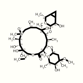 CC[C@H]1OC(=O)[C@H](C)[C@@H](O[C@H]2C[C@@](C)(OC)[C@@H](O)[C@H](C)O2)[C@H](C)[C@@H](O[C@@H]2O[C@H](C)C3CC3[C@H]2O)[C@](C)(O)C[C@@H](C)C[N+](C)([O-])[C@H](C)[C@@H](O)[C@]1(C)O